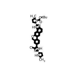 C[C@H]1CC[C@@H](c2nc(Cl)c(-c3ccc4c(c3)COc3cc5c(ccc6nc([C@@H]7CC[C@H](C)N7C(=O)OC(C)(C)C)[nH]c65)cc3-4)[nH]2)N1